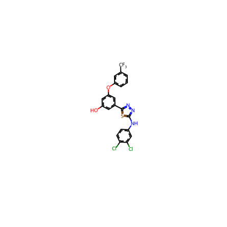 Oc1cc(Oc2cccc(C(F)(F)F)c2)cc(-c2nnc(Nc3ccc(Cl)c(Cl)c3)s2)c1